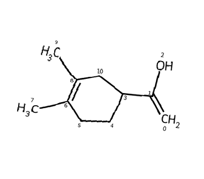 C=C(O)C1CCC(C)=C(C)C1